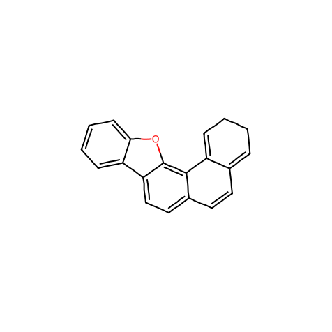 C1=c2ccc3ccc4c5ccccc5oc4c3c2=CCC1